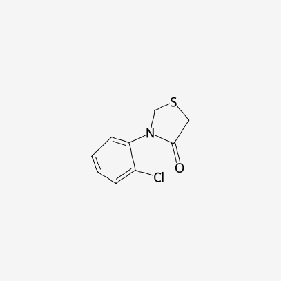 O=C1CSCN1c1ccccc1Cl